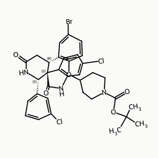 CC(C)(C)OC(=O)N1CCC(Oc2ccc(Br)cc2[C@H]2CC(=O)N[C@@H](c3cccc(Cl)c3)[C@]23C(=O)Nc2cc(Cl)ccc23)CC1